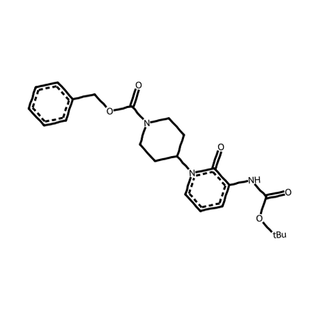 CC(C)(C)OC(=O)Nc1cccn(C2CCN(C(=O)OCc3ccccc3)CC2)c1=O